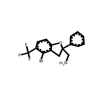 NCC1(c2ccccc2)Cc2c(ccc(C(F)(F)F)c2Br)O1